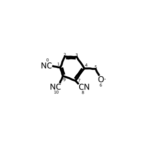 N#Cc1ccc(C[O])c(C#N)c1C#N